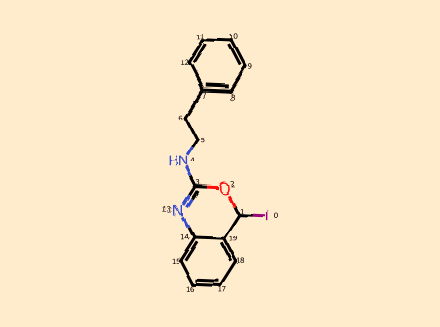 IC1OC(NCCc2ccccc2)=Nc2ccccc21